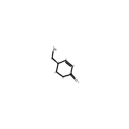 CC(C)CC1C=CC(=O)CC1